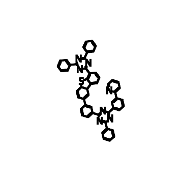 C1=CC2Sc3c(-c4nc(-c5ccccc5)nc(-c5ccccc5)n4)cccc3C2C=C1c1cccc(-c2nc(-c3ccccc3)nc(-c3cccc(-c4ccccn4)c3)n2)c1